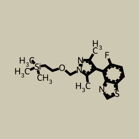 Cc1nn(COCC[Si](C)(C)C)c(C)c1-c1c(F)ccc2scnc12